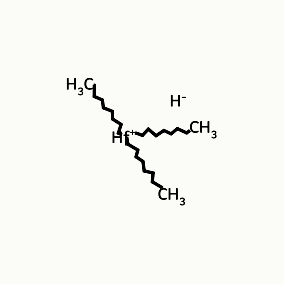 CCCCCCCC[CH2][Hf+]([CH2]CCCCCCCC)[CH2]CCCCCCCC.[H-]